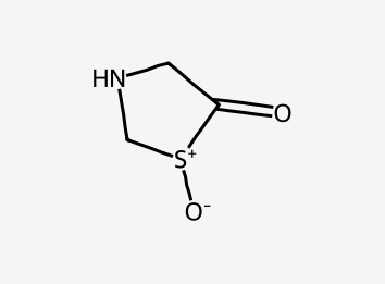 O=C1CNC[S+]1[O-]